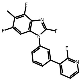 Cc1c(F)cc2c(nc(F)n2-c2cccc(-c3cccnc3F)c2)c1F